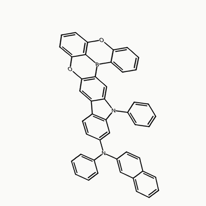 c1ccc(N(c2ccc3ccccc3c2)c2ccc3c4cc5c(cc4n(-c4ccccc4)c3c2)B2c3ccccc3Oc3cccc(c32)O5)cc1